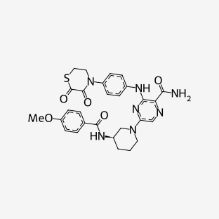 COc1ccc(C(=O)N[C@@H]2CCCN(c3cnc(C(N)=O)c(Nc4ccc(N5CCSC(=O)C5=O)cc4)n3)C2)cc1